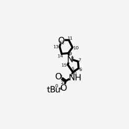 CC(C)(C)OC(=O)N[C@@H]1CCN(C2CCOCC2)C1